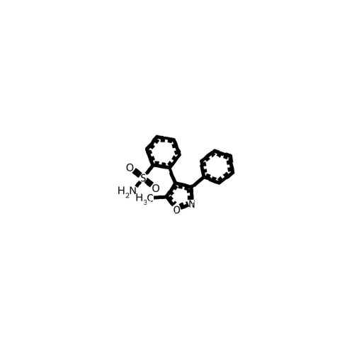 Cc1onc(-c2ccccc2)c1-c1ccccc1S(N)(=O)=O